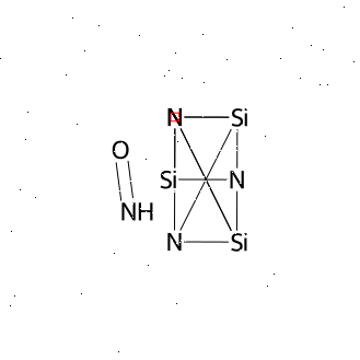 N12[Si]34N5[Si]16N3[Si]25N46.N=O